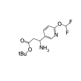 CC(C)(C)OC(=O)CC(N)c1ccc(OC(F)F)nc1